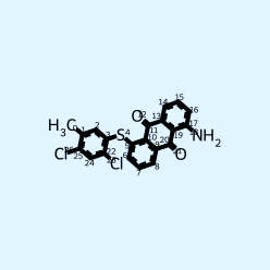 Cc1cc(Sc2cccc3c2C(=O)c2cccc(N)c2C3=O)c(Cl)cc1Cl